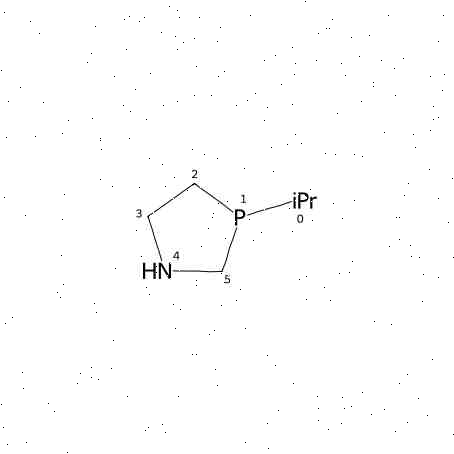 CC(C)P1CCNC1